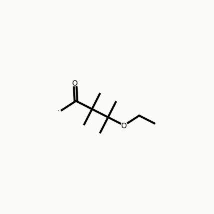 [CH2]C(=O)C(C)(C)C(C)(C)OCC